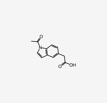 CC(=O)n1ccc2cc(CC(=O)O)ccc21